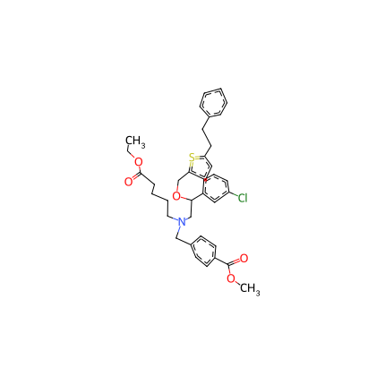 CCOC(=O)CCCCN(Cc1ccc(C(=O)OC)cc1)CC(OCc1ccc(CCc2ccccc2)s1)c1cccc(Cl)c1